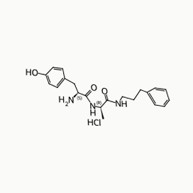 C[C@@H](NC(=O)[C@@H](N)Cc1ccc(O)cc1)C(=O)NCCCc1ccccc1.Cl